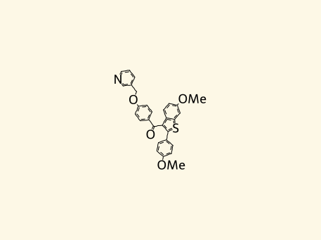 COc1ccc(-c2sc3cc(OC)ccc3c2C(=O)c2ccc(OCc3cccnc3)cc2)cc1